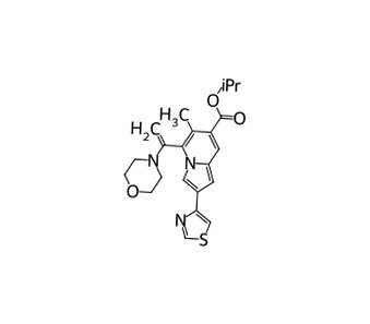 C=C(c1c(C)c(C(=O)OC(C)C)cc2cc(-c3cscn3)cn12)N1CCOCC1